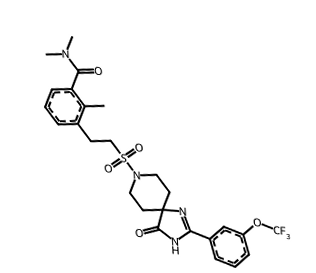 Cc1c(CCS(=O)(=O)N2CCC3(CC2)N=C(c2cccc(OC(F)(F)F)c2)NC3=O)cccc1C(=O)N(C)C